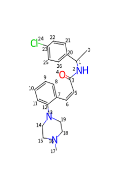 CC(NC(=O)/C=C\c1ccccc1N1CCN(C)CC1)c1ccc(Cl)cc1